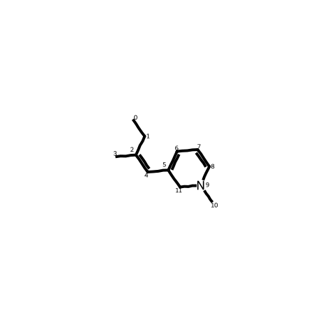 CCC(C)=CC1=CC=CN(C)C1